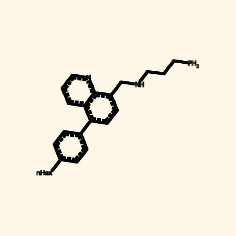 CCCCCCc1ccc(-c2ccc(CNCCCP)c3ncccc23)cc1